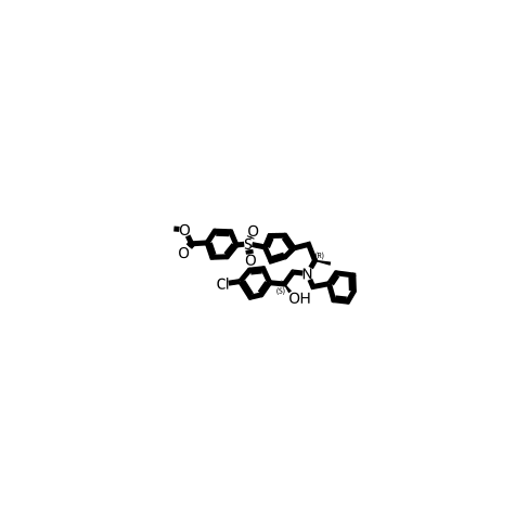 COC(=O)c1ccc(S(=O)(=O)c2ccc(C[C@@H](C)N(Cc3ccccc3)C[C@@H](O)c3ccc(Cl)cc3)cc2)cc1